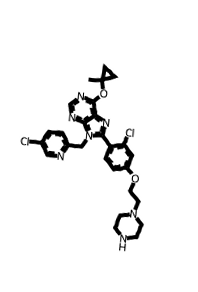 CC1(Oc2ncnc3c2nc(-c2ccc(OCCN4CCNCC4)cc2Cl)n3Cc2ccc(Cl)cn2)CC1